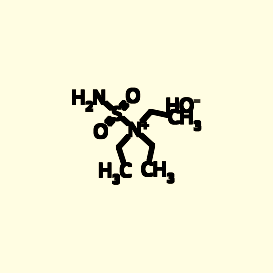 CC[N+](CC)(CC)S(N)(=O)=O.[OH-]